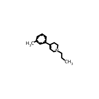 CCCN1CC=C(c2cccc(C)c2)CC1